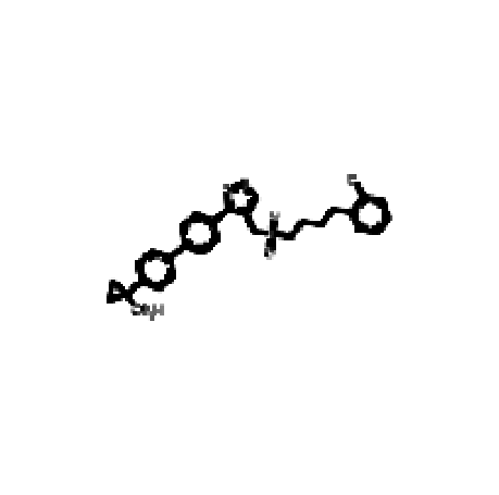 O=C(O)C1(c2ccc(-c3ccc(-c4oncc4CS(=O)(=O)CCCCc4ccccc4Cl)cc3)cc2)CC1